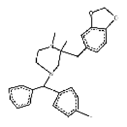 CN1CCN(C(c2ccccc2)c2ccc(F)cc2)CC1(C)Cc1ccc2c(c1)OCO2